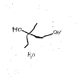 CC(C)(O)CO.O